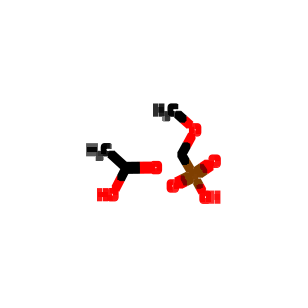 CC(=O)O.COCS(=O)(=O)O